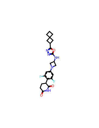 O=C1CCC(c2c(F)cc(N3CC(Nc4nnc(C5CC6(CCC6)C5)o4)C3)cc2F)C(=O)N1